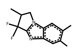 Cc1cc2nc3n(c2cc1C)CC(C)C3(F)F